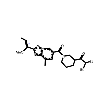 C/C=C(\OC)c1nc2c(C)cc(C(=O)N3CCCC(C(=O)C(CC)CC)C3)cn2n1